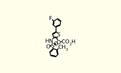 Cc1ccccc1S(=O)(=O)Nc1cc(-c2cccc(F)c2)sc1OC(=O)O